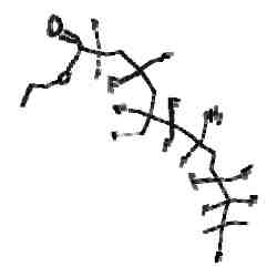 CCOC(=O)C(F)(F)CC(F)(F)CC(F)(CF)C(F)(F)C(F)(P)CC(F)(F)C(F)(F)C(C)(C)F